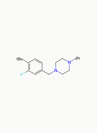 CC(C)N1CCN(Cc2ccc(C(C)(C)C)c(F)c2)CC1